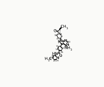 CC#CC(=O)N1CCC(n2nc(-c3ccc(C(=O)Nc4cc(C)ccn4)cc3)c3c(N)ncnc32)CC1